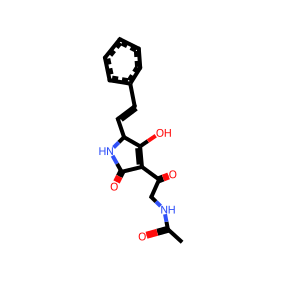 CC(=O)NCC(=O)C1=C(O)C(C=Cc2ccccc2)NC1=O